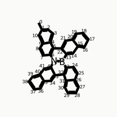 Cc1ccc2c3c(ccc2c1)N1B(c2cc4ccccc4cc2-3)c2ccc3ccccc3c2-c2cc3ccccc3cc21